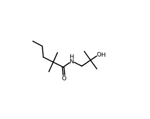 CCCC(C)(C)C(=O)NCC(C)(C)O